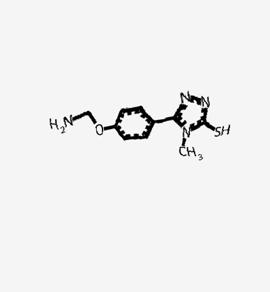 Cn1c(S)nnc1-c1ccc(OCN)cc1